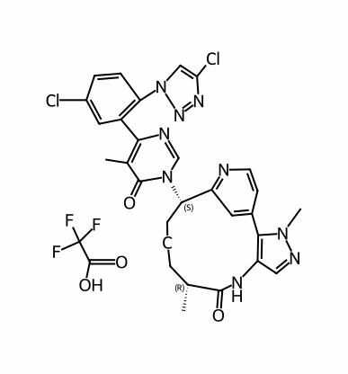 Cc1c(-c2cc(Cl)ccc2-n2cc(Cl)nn2)ncn([C@H]2CCC[C@@H](C)C(=O)Nc3cnn(C)c3-c3ccnc2c3)c1=O.O=C(O)C(F)(F)F